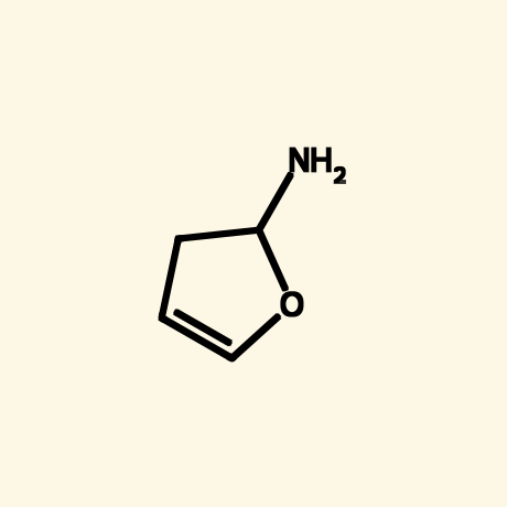 NC1CC=CO1